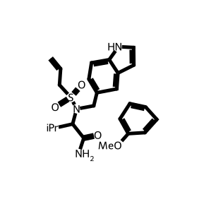 C=CCS(=O)(=O)N(Cc1ccc2[nH]ccc2c1)C(C(N)=O)C(C)C.COc1ccccc1